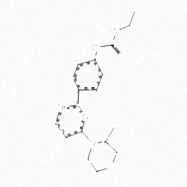 CCNC(=O)Nc1ccc(-c2nccc(N3CCOCC3C)n2)cc1